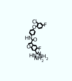 N/N=C(\NN)c1cc2occ(C(=O)Nc3ccc(Oc4ccc(F)cc4Cl)cc3)c2cc1F